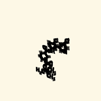 CC(C)(C)OC(=O)N1CCC[C@@H](C(=O)Nc2cc(-c3cncc(Cl)n3)c(Cl)cn2)C1